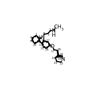 CNCCCn1c2ccccc2c2ccc(OC/C=C3/CN4CCC3CC4)cc21